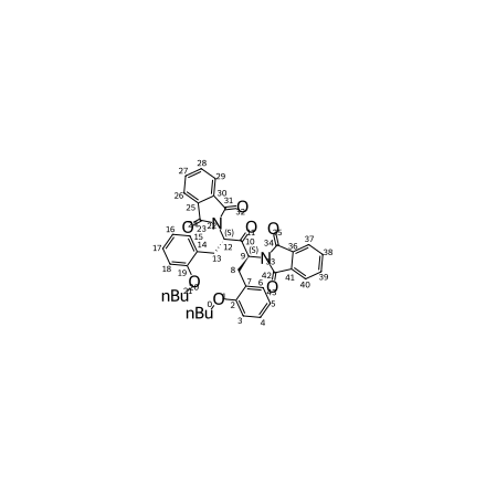 CCCCOc1ccccc1C[C@@H](C(=O)[C@H](Cc1ccccc1OCCCC)N1C(=O)c2ccccc2C1=O)N1C(=O)c2ccccc2C1=O